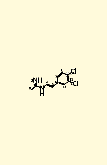 CC(=N)N/C=C/c1ccc(Cl)c(Cl)c1